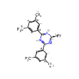 CC(C)c1nc(-c2cc(C(F)(F)F)cc(C(F)(F)F)c2)nc(-c2cc(C(F)(F)F)cc(C(F)(F)F)c2)n1